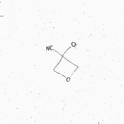 N#CC1([O])COC1